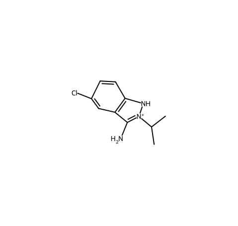 CC(C)[n+]1[nH]c2ccc(Cl)cc2c1N